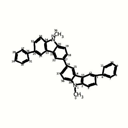 Cn1c2ccc(-c3ccccc3)cc2c2cc(-c3ccc4c(c3)c3cc(-c5ccccc5)ccc3n4C)ccc21